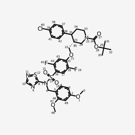 COc1ccc(CN(c2ncns2)S(=O)(=O)c2cc(F)c(OC[C@H]3CN(C(=O)OC(C)(C)C)CCC3c3ccc(Cl)cc3)cc2F)c(OC)c1